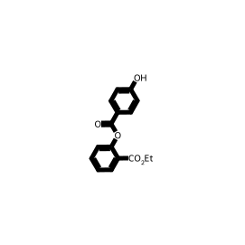 CCOC(=O)c1ccccc1OC(=O)c1ccc(O)cc1